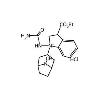 CCOC(=O)C1C[N+](NC(N)=O)(C2CC3CCC(C2)N3C)c2ccccc21.Cl